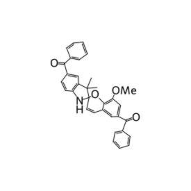 COc1cc(C(=O)c2ccccc2)cc2c1OC1(C=C2)Nc2ccc(C(=O)c3ccccc3)cc2C1(C)C